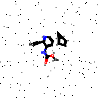 C#Cc1ncccc1NC(=O)OC(C)(C)C.c1cc2cc-2c1